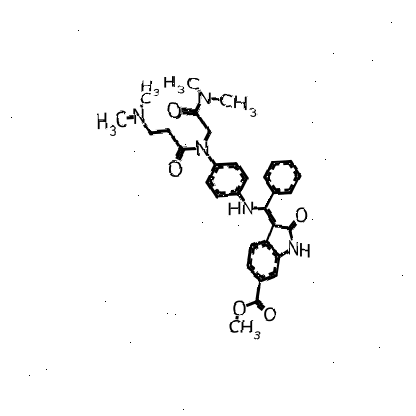 COC(=O)c1ccc2c(c1)NC(=O)C2=C(Nc1ccc(N(CC(=O)N(C)C)C(=O)CCN(C)C)cc1)c1ccccc1